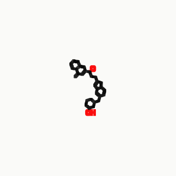 C=C1C=C(C(=O)CCC2=CC3C=C(CC4CCCC(O)C4)C=CC3=C2)C=C2C=CC=CC12